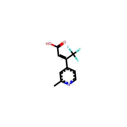 Cc1cc(/C(=C/C(=O)O)C(F)(F)F)ccn1